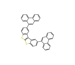 c1ccc2c(c1)cc(-c1ccc3sc4sc5ccc(-c6cc7ccccc7c7ccccc67)cc5c4c3c1)c1ccccc12